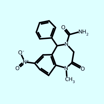 CN1C(=O)CN(C(N)=O)C(c2ccccc2)c2cc([N+](=O)[O-])ccc21